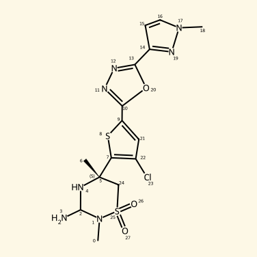 CN1C(N)N[C@](C)(c2sc(-c3nnc(-c4ccn(C)n4)o3)cc2Cl)CS1(=O)=O